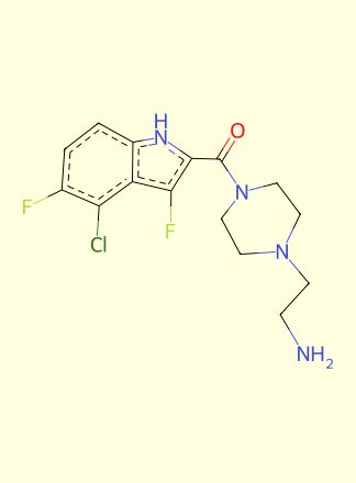 NCCN1CCN(C(=O)c2[nH]c3ccc(F)c(Cl)c3c2F)CC1